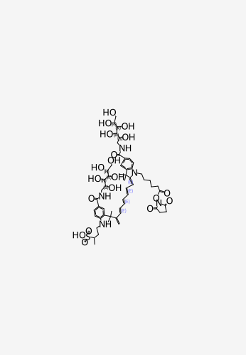 C=C(/C=C/C=C/C=C/C=C1/N(CCCCCC(=O)ON2C(=O)CCC2=O)c2ccc(C(=O)NC[C@H](O)[C@@H](O)[C@H](O)[C@H](O)CO)cc2C1(C)C)C(C)(C)c1cc(C(=O)NC[C@H](O)[C@@H](O)[C@H](O)[C@H](O)CO)ccc1NCCC(C)S(=O)(=O)O